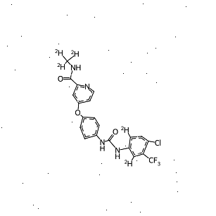 [2H]c1cc(Cl)c(C(F)(F)F)c([2H])c1NC(=O)Nc1ccc(Oc2ccnc(C(=O)NC([2H])([2H])[2H])c2)cc1